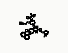 C=C(F)C(=O)N1CCN(c2nc(OC[C@@H]3CCCN3C)nc3c2CCN(c2cccc4cccc(Cl)c24)C3)C[C@@H]1CCC#N